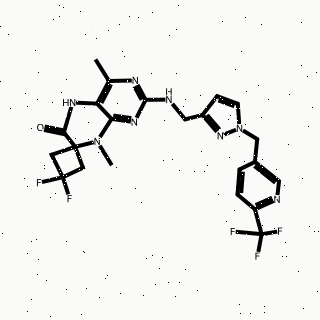 Cc1nc(NCc2ccn(Cc3ccc(C(F)(F)F)nc3)n2)nc2c1NC(=O)C1(CC(F)(F)C1)N2C